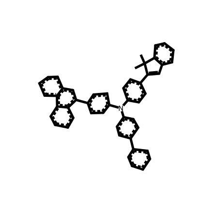 CC1(C)C(c2ccc(N(c3ccc(-c4ccccc4)cc3)c3ccc(-c4cc5ccccc5c5ccccc45)cc3)cc2)=Cc2ccccc21